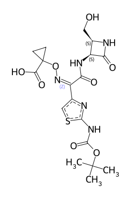 CC(C)(C)OC(=O)Nc1nc(/C(=N/OC2(C(=O)O)CC2)C(=O)N[C@@H]2C(=O)N[C@@H]2CO)cs1